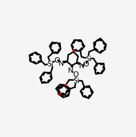 c1ccc(C[Si](Cc2ccccc2)(Cc2ccccc2)ON=C2CCCC(=NO[Si](Cc3ccccc3)(Cc3ccccc3)Cc3ccccc3)C2=NO[Si](Cc2ccccc2)(Cc2ccccc2)Cc2ccccc2)cc1